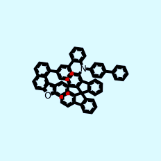 c1ccc(-c2ccc(N(c3ccccc3-c3cccc(-c4cccc5ccc6oc7ccccc7c6c45)c3)c3cccc4c3-c3ccccc3C43c4ccccc4-c4ccccc43)cc2)cc1